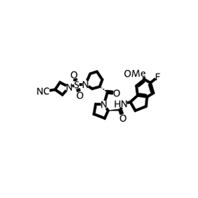 COc1cc2c(cc1F)CCC2NC(=O)[C@H]1CCCN1C(=O)[C@H]1CCCN(S(=O)(=O)N2CC(C#N)C2)C1